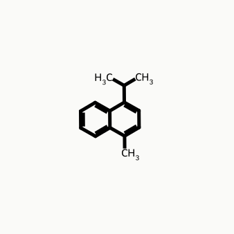 Cc1ccc(C(C)C)c2ccccc12